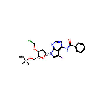 CC(C)(C)[Si](C)(C)OC[C@H]1O[C@@H](n2cc(I)c3c(NC(=O)c4ccccc4)ncnc32)CC1OCCl